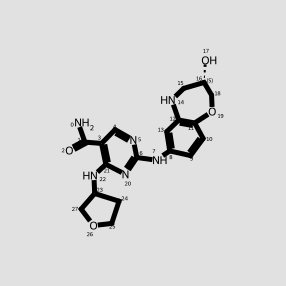 NC(=O)c1cnc(Nc2ccc3c(c2)NC[C@H](O)CO3)nc1NC1CCOC1